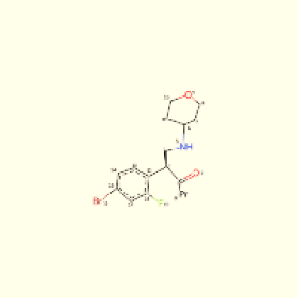 CC(C)C(=O)[C@H](CNC1CCOCC1)c1ccc(Br)cc1F